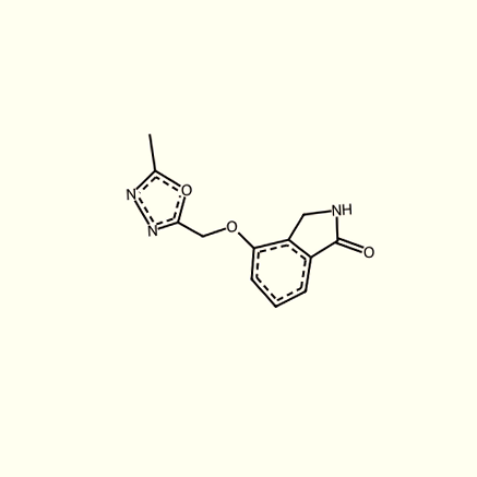 Cc1nnc(COc2cccc3c2CNC3=O)o1